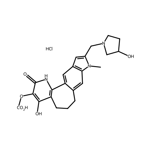 Cl.Cn1c(CN2CCC(O)C2)cc2cc3c(cc21)CCCc1c-3[nH]c(=O)c(OC(=O)O)c1O